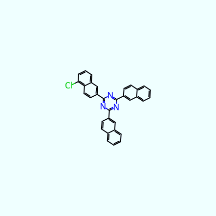 Clc1cccc2cc(-c3nc(-c4ccc5ccccc5c4)nc(-c4ccc5ccccc5c4)n3)ccc12